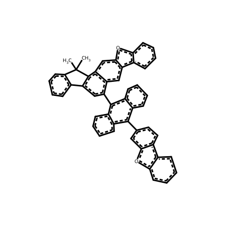 CC1(C)c2ccccc2-c2cc(-c3c4ccccc4c(-c4ccc5c(c4)oc4ccccc45)c4ccccc34)c3cc4c(cc3c21)oc1ccccc14